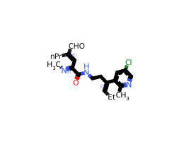 CC/C=C(/CCNC(=O)C(/C=C(/C=O)CCC)=N/C)c1cc(Cl)cnc1C